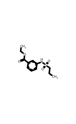 CCCS(=O)(=O)Nc1cccc(C(=O)OCC)c1